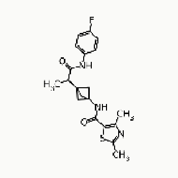 Cc1nc(C)c(C(=O)NC23CC(C(C)C(=O)Nc4ccc(F)cc4)(C2)C3)s1